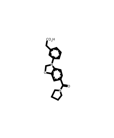 O=C(O)Cc1cccc(N2COc3cc(C(=O)N4CCCC4)ccc32)c1